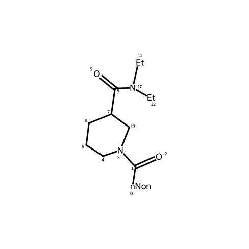 CCCCCCCCCC(=O)N1CCCC(C(=O)N(CC)CC)C1